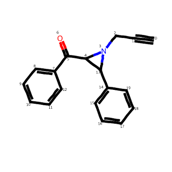 C#CCN1C(C(=O)c2ccccc2)C1c1ccccc1